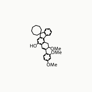 COc1ccc(C2=Cc3c(O)cc4c(c3CC2OC)-c2ccccc2C42CCCCCCC2)c(OC)c1